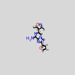 Cc1noc(C)c1-c1cn2nc(-c3ccco3)nc2c(N)n1